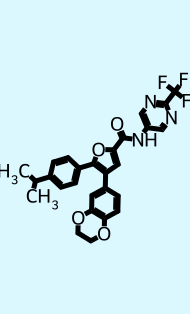 CC(C)c1ccc(-c2oc(C(=O)Nc3cnc(C(F)(F)F)nc3)cc2-c2ccc3c(c2)OCCO3)cc1